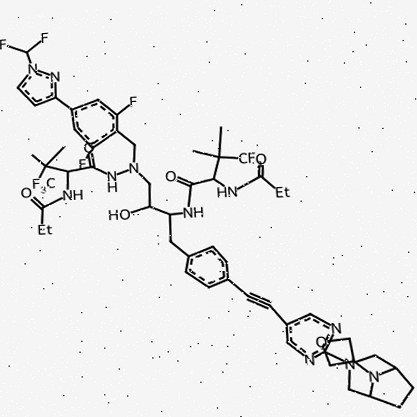 CCC(=O)NC(C(=O)NC(Cc1ccc(C#Cc2cnc(N3CC4CCC(C3)N4C3COC3)nc2)cc1)C(O)CN(Cc1c(F)cc(-c2ccn(C(F)F)n2)cc1F)NC(=O)C(NC(=O)CC)C(C)(C)C(F)(F)F)C(C)(C)C(F)(F)F